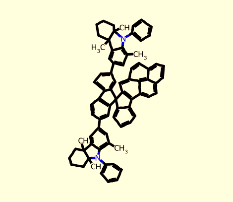 Cc1cc(-c2ccc3c(c2)C2(c4cc(-c5cc(C)c6c(c5)C5(C)CCCCC5(C)N6c5ccccc5)ccc4-3)c3ccccc3-c3c2cc2ccc4cccc5ccc3c2c45)cc2c1N(c1ccccc1)C1(C)CCCCC21C